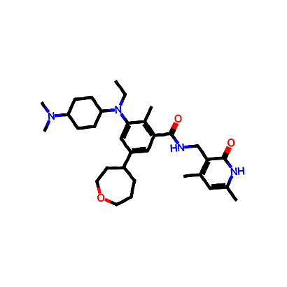 CCN(c1cc(C2CCCOCC2)cc(C(=O)NCc2c(C)cc(C)[nH]c2=O)c1C)C1CCC(N(C)C)CC1